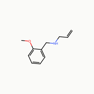 C=CCNCc1ccccc1OC